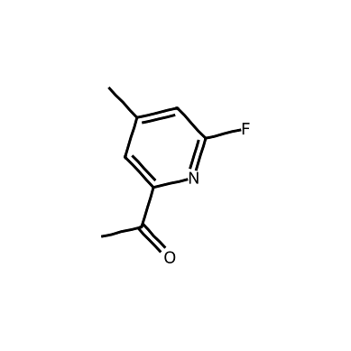 CC(=O)c1cc(C)cc(F)n1